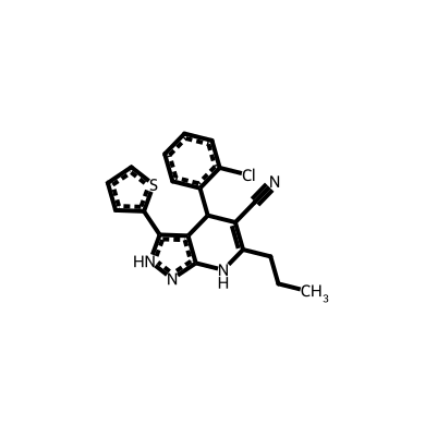 CCCC1=C(C#N)C(c2ccccc2Cl)c2c(n[nH]c2-c2cccs2)N1